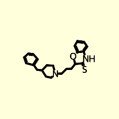 S=C1Nc2ccccc2OC1CCCN1CCC(Cc2ccccc2)CC1